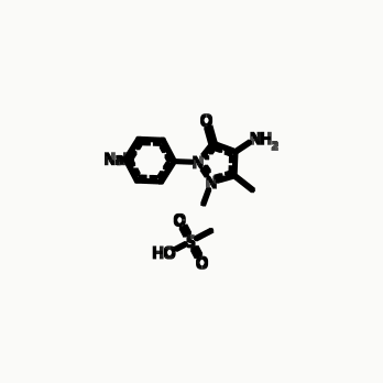 CS(=O)(=O)O.Cc1c(N)c(=O)n(-c2ccccc2)n1C.[NaH]